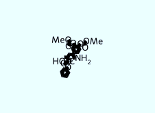 COC(=O)Oc1ccc(C(CC(C)OC(=O)Oc2ccccc2)[C@H](N)C(=O)O)cc1OC(=O)OC